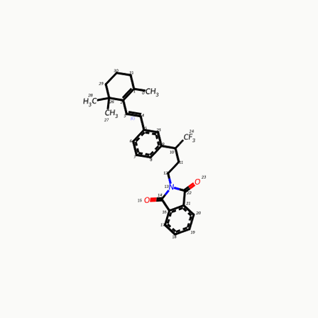 CC1=C(/C=C/c2cccc(C(CCN3C(=O)c4ccccc4C3=O)C(F)(F)F)c2)C(C)(C)CCC1